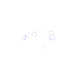 CS(=O)(=O)N1CCC(Nc2ncc3cc(C(F)F)c(=O)n(CCOC(=O)c4ccc(S(=O)(=O)n5cnc(C6CC6)n5)cc4)c3n2)CC1